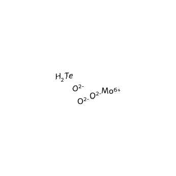 [Mo+6].[O-2].[O-2].[O-2].[TeH2]